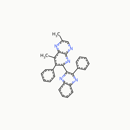 Cc1cnc2nc(-c3nc4ccccc4nc3-c3ccccc3)c(-c3ccccc3)c(C)c2n1